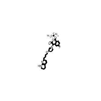 CC(C)OCc1ccc(F)cc1C(C(=O)O)N1CC[C@@H](OCCCCc2ccc3c(n2)NCCC3)C1